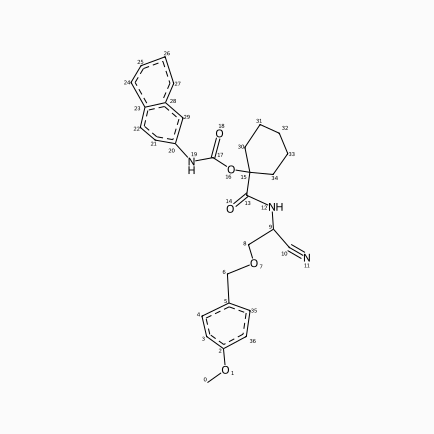 COc1ccc(COCC(C#N)NC(=O)C2(OC(=O)Nc3ccc4ccccc4c3)CCCCC2)cc1